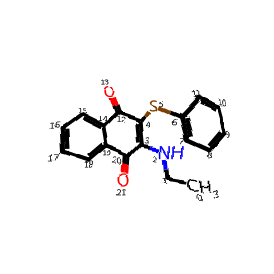 CCNC1=C(Sc2ccccc2)C(=O)c2ccccc2C1=O